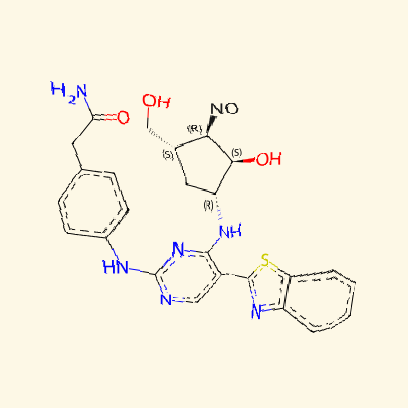 NC(=O)Cc1ccc(Nc2ncc(-c3nc4ccccc4s3)c(N[C@@H]3C[C@H](CO)[C@@H](N=O)[C@H]3O)n2)cc1